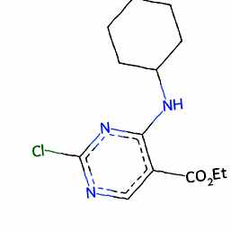 CCOC(=O)c1cnc(Cl)nc1NC1CCCCC1